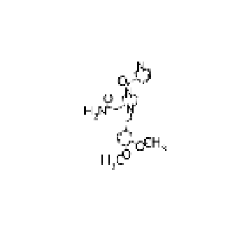 COc1ccc(CCN2CCN(C(=O)c3cccnc3)CC2CC(N)=O)cc1OC